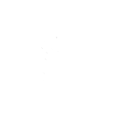 CCOC(=O)c1c([NH-])on[n+]1N1CCN(S(C)(=O)=O)CC1